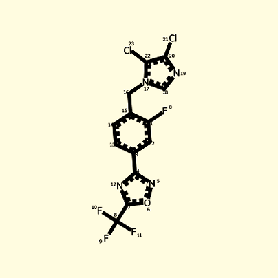 Fc1cc(-c2noc(C(F)(F)F)n2)ccc1Cn1cnc(Cl)c1Cl